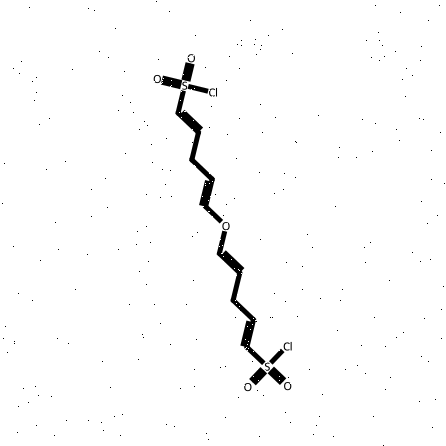 O=S(=O)(Cl)C=CCC=COC=CCC=CS(=O)(=O)Cl